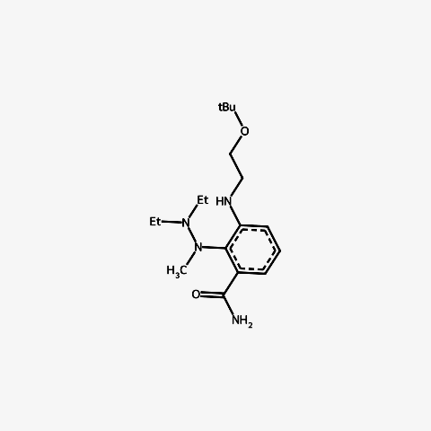 CCN(CC)N(C)c1c(NCCOC(C)(C)C)cccc1C(N)=O